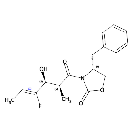 C/C=C(\F)[C@@H](O)[C@H](C)C(=O)N1C(=O)OC[C@H]1Cc1ccccc1